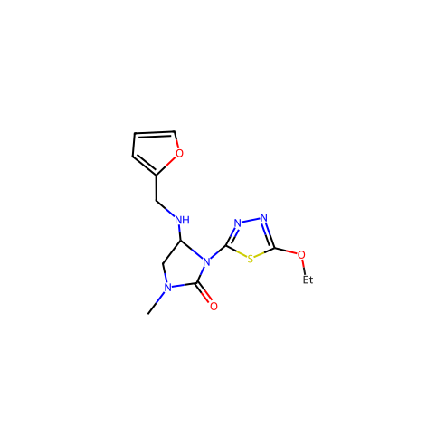 CCOc1nnc(N2C(=O)N(C)CC2NCc2ccco2)s1